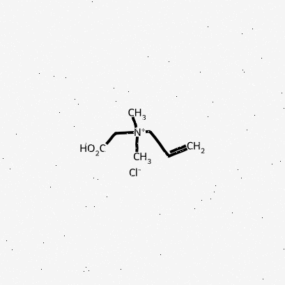 C=CC[N+](C)(C)CC(=O)O.[Cl-]